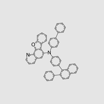 c1ccc(-c2ccc(N(c3ccc(-c4c(-c5ccccc5)ccc5ccccc45)cc3)c3cc4cccnc4c4oc5ccccc5c34)cc2)cc1